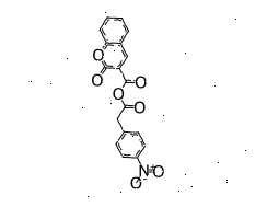 O=C(Cc1ccc([N+](=O)[O-])cc1)OC(=O)c1cc2ccccc2oc1=O